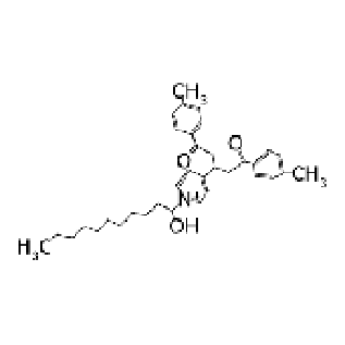 CCCCCCCCCCC(O)[n+]1ccc(C(CC(=O)c2ccc(C)cc2)CC(=O)c2ccc(C)cc2)cc1